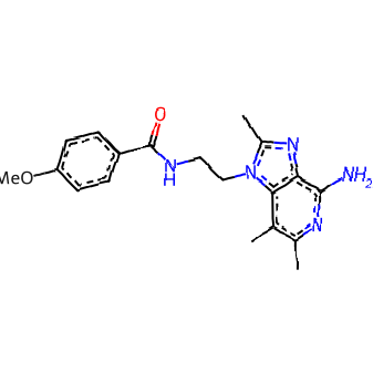 COc1ccc(C(=O)NCCn2c(C)nc3c(N)nc(C)c(C)c32)cc1